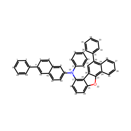 c1ccc(-c2ccc3cc(N(c4ccccc4)c4cccc5oc6c7ccccc7c(-c7ccccc7)cc6c45)ccc3c2)cc1